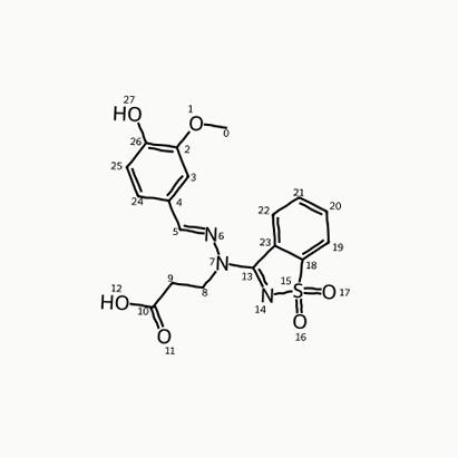 COc1cc(C=NN(CCC(=O)O)C2=NS(=O)(=O)c3ccccc32)ccc1O